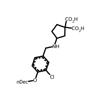 CCCCCCCCCCOc1ccc(CNC2CCC(C(=O)O)(C(=O)O)C2)cc1Cl